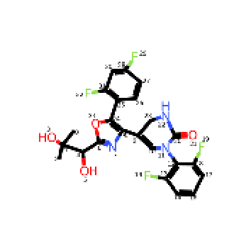 CC(C)(O)C(O)c1nc(C2=CN(c3c(F)cccc3F)C(=O)NC2)c(-c2ccc(F)cc2F)o1